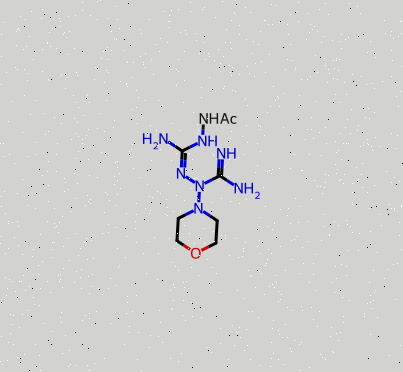 CC(=O)NNC(N)=NN(C(=N)N)N1CCOCC1